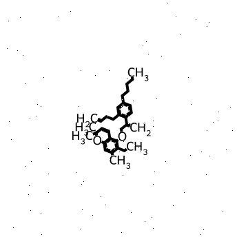 C=CCCc1cc(CCCCC)ccc1C(=C)COc1c2c(cc(C)c1CC)OC(C)(C)C=C2